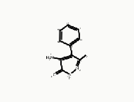 Cc1n[nH]c(=O)c(N)c1-c1ccccc1